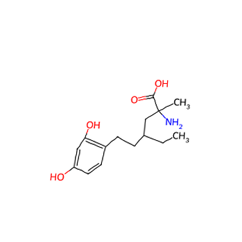 CCC(CCc1ccc(O)cc1O)CC(C)(N)C(=O)O